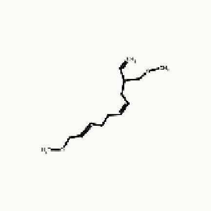 C=CC(C/C=C\CC/C=C/COC)COC